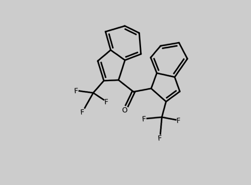 O=C(C1C(C(F)(F)F)=Cc2ccccc21)C1C(C(F)(F)F)=Cc2ccccc21